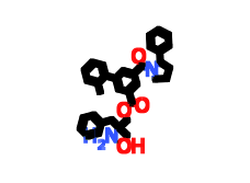 Cc1ccccc1-c1cc(C(=O)OCC(N)(CO)Cc2ccccc2)cc(C(=O)N2CCCC2c2ccccc2)c1